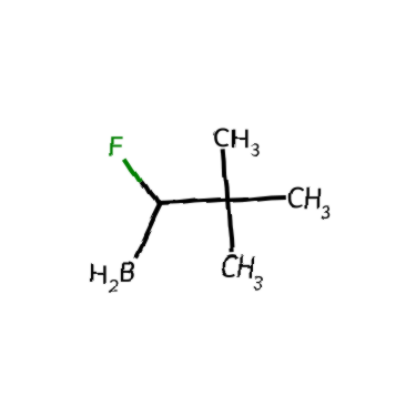 BC(F)C(C)(C)C